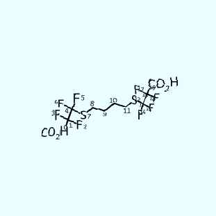 O=C(O)C(F)(F)C(F)(F)SCCCCSC(F)(F)C(F)(F)C(=O)O